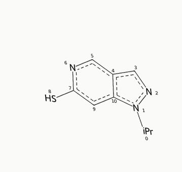 CC(C)n1ncc2cnc(S)cc21